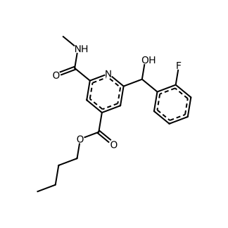 CCCCOC(=O)c1cc(C(=O)NC)nc(C(O)c2ccccc2F)c1